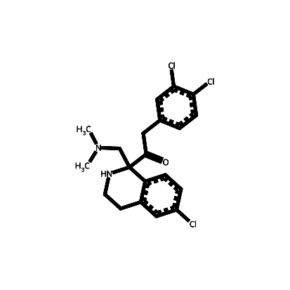 CN(C)CC1(C(=O)Cc2ccc(Cl)c(Cl)c2)NCCc2cc(Cl)ccc21